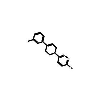 CC(=O)c1ccc(N2CC=C(c3cccc(C)c3)CC2)nn1